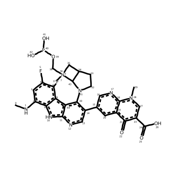 CNc1cc(F)c(F)c2c1[nH]c1ncc(-c3cnc4c(c3)c(=O)c(C(=O)O)cn4C)c(N3CCC4C[N+](C)(COP(O)O)C43)c12